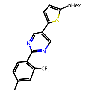 CCCCCCc1ccc(-c2cnc(-c3ccc(C)cc3C(F)(F)F)nc2)s1